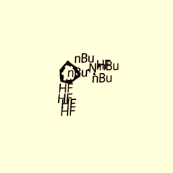 CCCC[N+](CCCC)(CCCC)CCCC.F.F.F.F.F.c1ccccc1